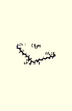 CCCCCCCC/C=C\CCCCCCCC(=O)OCC(CO)OC(=O)CCCCCCC/C=C\CCCCCCCC.CCOCC